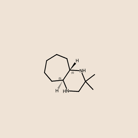 CC1(C)CN[C@H]2CCCCC[C@@H]2N1